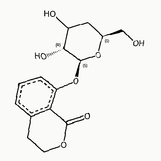 O=C1OCCc2cccc(O[C@@H]3O[C@H](CO)CC(O)[C@H]3O)c21